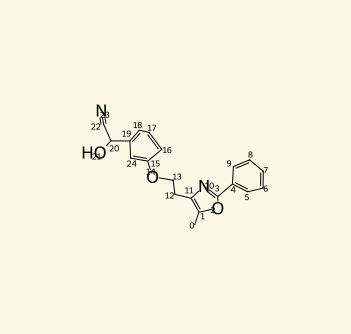 Cc1oc(-c2ccccc2)nc1CCOc1cccc(C(O)C#N)c1